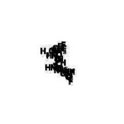 CC(C)[C@H](Nc1cncc(-c2c[nH]c3ncc([AsH]C(=O)Nc4ccc(F)cc4F)cc23)c1)C(=O)NCC(F)(F)F